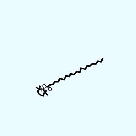 CCCCCCCCCCCCCCCCCCCCCC(=O)ON1C(C)(C)CCCC1(C)C